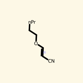 CCCCCO/C=C/C#N